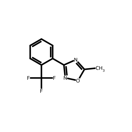 Cc1nc(-c2ccccc2C(F)(F)F)no1